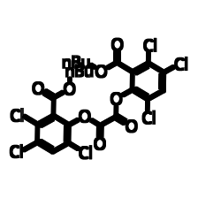 CCCCOC(=O)c1c(Cl)c(Cl)cc(Cl)c1OC(=O)C(=O)Oc1c(Cl)cc(Cl)c(Cl)c1C(=O)OCCCC